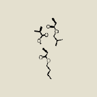 C=C(C)C(=O)OC.C=CC(=O)OCC(C)C.C=CC(=O)OCCCC